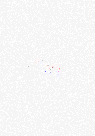 CC(=O)O[C@@H]1[C@@H](OC(C)=O)[C@H](N=[N+]=[N-])C[C@H](N=[N+]=[N-])[C@H]1O[C@@H]1CCC[C@@H]([C@@H](C)NC(=O)OCc2ccccc2)O1